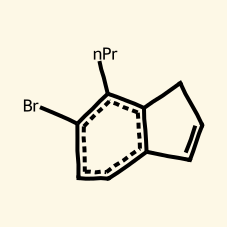 CCCc1c(Br)ccc2c1CC=C2